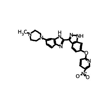 CN1CCN(c2ccc3nc(-c4n[nH]c5cc(Oc6ccc([N+](=O)[O-])cn6)ccc45)[nH]c3c2)CC1